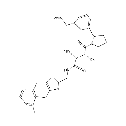 CNCc1cccc(C2CCCN2C(=O)[C@H](O)[C@@H](O)C(=O)NCc2nc(Cc3c(C)cccc3C)cs2)c1